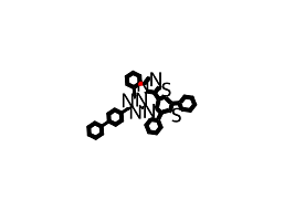 c1ccc(-c2ccc(-c3nc(-c4ccccc4)nc(-n4c5ccccc5c5c6sc7ccccc7c6c6sc7ncncc7c6c54)n3)cc2)cc1